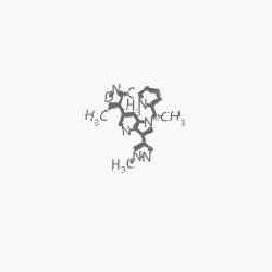 Cc1noc(C)c1-c1cnc2c(-c3cnn(C)c3)cn([C@@H](C)c3ccccn3)c2c1